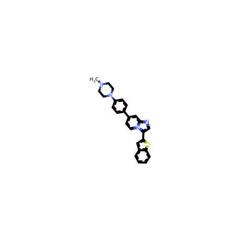 CN1CCN(c2ccc(-c3ccn4c(-c5cc6ccccc6s5)cnc4c3)cc2)CC1